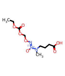 CCOC(=O)OCO/N=[N+](\[O-])N(C)CCCC(=O)O